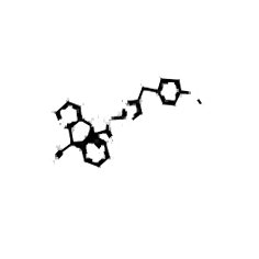 COc1ccc(Cc2csc(NC(=O)C3(C)CC4(C#N)c5ccccc5C3c3cccnc34)n2)cc1